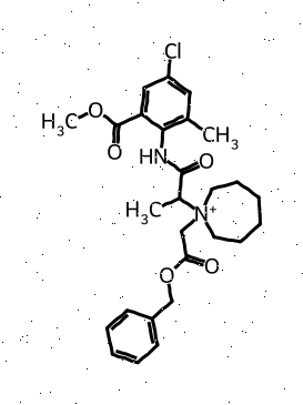 COC(=O)c1cc(Cl)cc(C)c1NC(=O)C(C)[N+]1(CC(=O)OCc2ccccc2)CCCCCC1